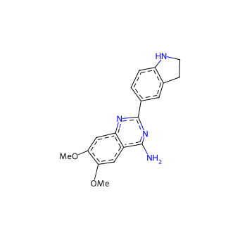 COc1cc2nc(-c3ccc4c(c3)CCN4)nc(N)c2cc1OC